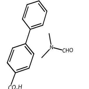 CN(C)C=O.O=C(O)c1ccc(-c2ccccc2)cc1